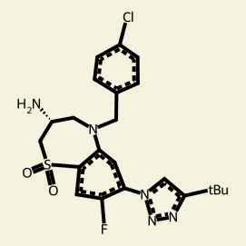 CC(C)(C)c1cn(-c2cc3c(cc2F)S(=O)(=O)C[C@H](N)CN3Cc2ccc(Cl)cc2)nn1